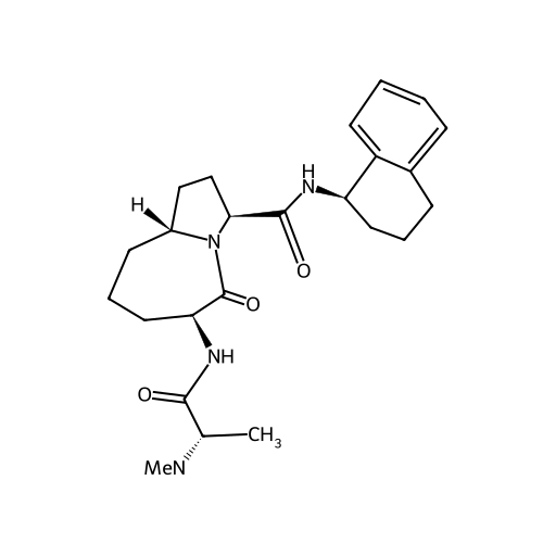 CN[C@@H](C)C(=O)N[C@H]1CCC[C@@H]2CC[C@@H](C(=O)N[C@@H]3CCCc4ccccc43)N2C1=O